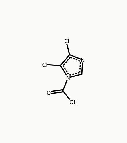 O=C(O)n1cnc(Cl)c1Cl